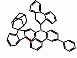 c1ccc(-c2ccc(N(c3ccc4c(c3)C3(c5ccccc5-4)C4CC5CC(C4)CC3C5)c3cc4ccccc4c4ccccc34)c(-c3ccccc3)c2)cc1